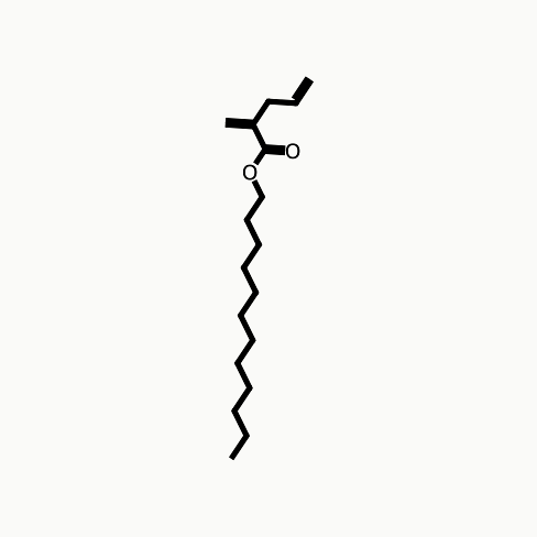 C=CCC(=C)C(=O)OCCCCCCCCCCCC